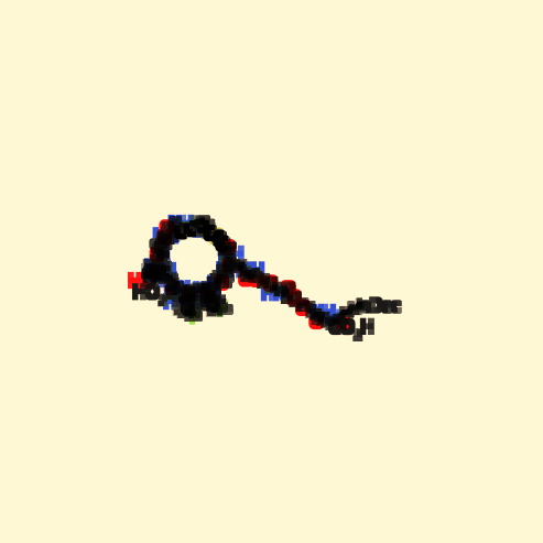 CCCCCCCCCCCCCCCC(=O)N[C@@H](CCC(=O)NCCOCCOCC(=O)NCCOCCOCC(=O)NCCCC[C@@H]1NC(=O)CCSCc2cccc(c2)CSC[C@@H](C(N)=O)NC(=O)[C@]2(C)CCCN2C(=O)[C@H](Cc2ccc(O)cc2)NC(=O)[C@H](Cc2cnc[nH]2)NC(=O)[C@H](CC(=O)O)NC(=O)[C@H](Cc2c[nH]c3ccc(F)cc23)NC(=O)[C@H](Cc2c[nH]c3ccc(F)cc23)NC(=O)[C@@H](C)NC1=O)C(=O)O